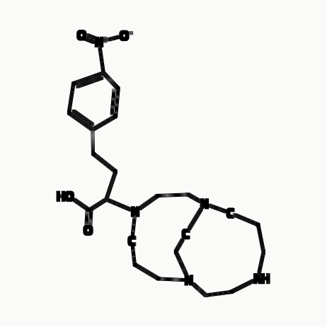 O=C(O)C(CCc1ccc([N+](=O)[O-])cc1)N1CCCN2CCNCCCN(CC2)CC1